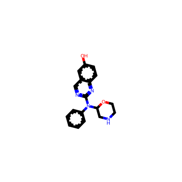 Oc1ccc2nc(N(c3ccccc3)C3CNCCO3)ncc2c1